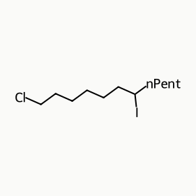 CCCCCC(I)CCCCCCCl